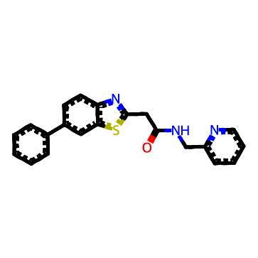 O=C(Cc1nc2ccc(-c3ccccc3)cc2s1)NCc1ccccn1